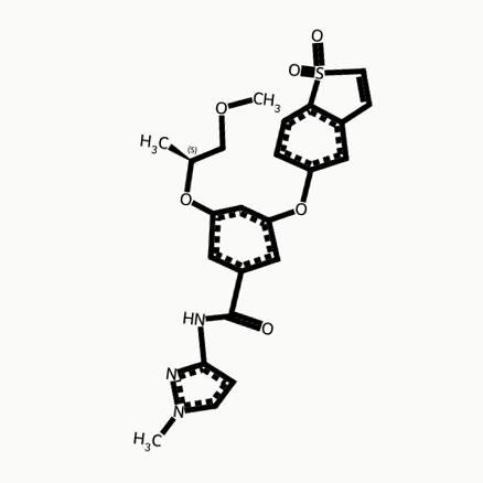 COC[C@H](C)Oc1cc(Oc2ccc3c(c2)C=CS3(=O)=O)cc(C(=O)Nc2ccn(C)n2)c1